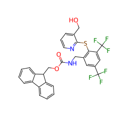 O=C(NCc1cc(C(F)(F)F)cc(C(F)(F)F)c1Sc1ncccc1CO)OCC1c2ccccc2-c2ccccc21